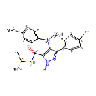 COc1ccc(N(c2c(-c3ccc(F)cc3)nn(C)c2C(=O)N[C@@H](C)C(C)(C)C)S(=O)(=O)O)cc1